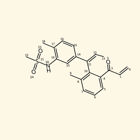 C=CC(=O)c1cccc(C)c1/C(=C\C)c1ccc(C)c(NS(C)(=O)=O)c1